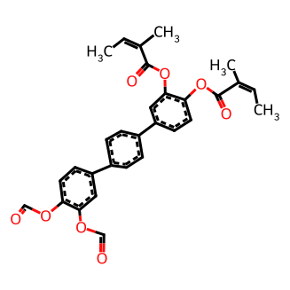 C/C=C(/C)C(=O)Oc1ccc(-c2ccc(-c3ccc(OC=O)c(OC=O)c3)cc2)cc1OC(=O)/C(C)=C\C